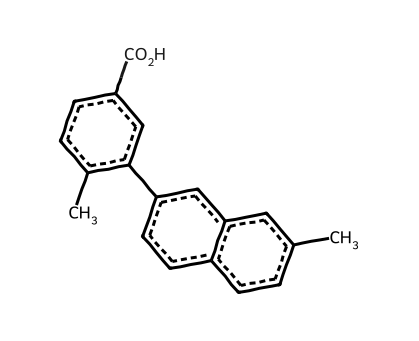 Cc1ccc2ccc(-c3cc(C(=O)O)ccc3C)cc2c1